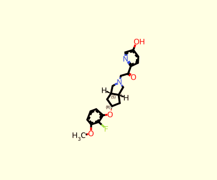 COc1cccc(O[C@@H]2C[C@@H]3CN(CC(=O)c4ccc(O)cn4)C[C@@H]3C2)c1F